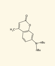 CCCCN(CCCC)c1ccc2c(C)cc(=O)oc2c1